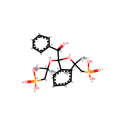 CCCCC(CCCC)(CP(=O)(O)O)OC(OC(CCCC)(CCCC)CP(=O)(O)O)(C(=O)c1ccccc1)c1ccccc1